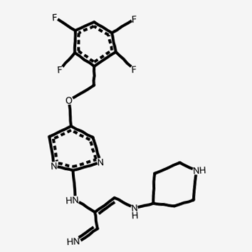 N=C/C(=C\NC1CCNCC1)Nc1ncc(OCc2c(F)c(F)cc(F)c2F)cn1